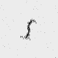 C=C(C)COC(=O)OCCOc1ccc(OCCOC(=O)OCC(=C)C)cc1